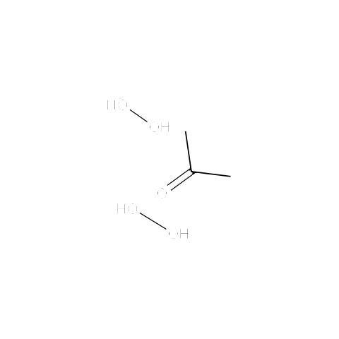 CC(C)=O.OO.OO